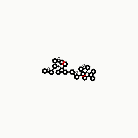 c1ccc(-c2c(N(c3ccc(-c4cccc5c4oc4ccc(-c6ccc7c(c6)c(-c6ccccc6)c(N(c6cccc(-c8cccc9c8oc8ccccc89)c6)c6cccc8oc9ccccc9c68)c6ccccc67)cc45)cc3)c3cccc4oc5ccccc5c34)c3ccccc3c3ccccc23)cc1